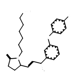 O=C(O)CCCCCCN1C(=O)CCC1/C=C/[C@@H](O)c1cccc(Oc2ccc(C(F)(F)F)cc2)c1